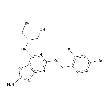 CC(C)CC(CO)Nc1nc(SCc2ccc(Br)cc2F)nc2nc(N)sc12